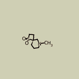 CN1CCC[C@@]2(CCS2(=O)=O)C1